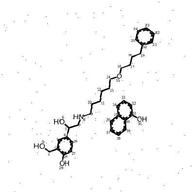 OCc1cc(C(O)CNCCCCCCOCCCCc2ccccc2)ccc1O.Oc1cccc2ccccc12